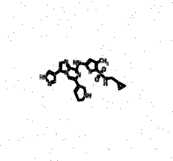 Cc1cc(Nc2nc(C3=CCCNC3)cn3c(-c4cn[nH]c4)cnc23)sc1S(=O)(=O)NCC1CC1